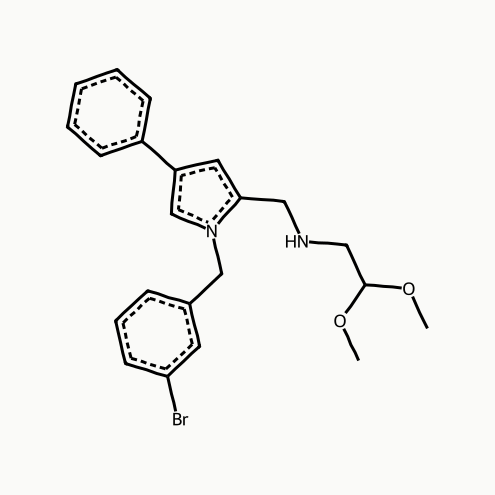 COC(CNCc1cc(-c2ccccc2)cn1Cc1cccc(Br)c1)OC